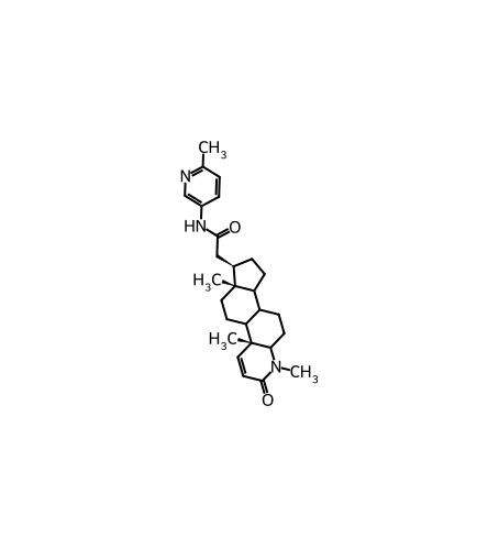 Cc1ccc(NC(=O)C[C@H]2CCC3C4CCC5N(C)C(=O)C=C[C@]5(C)C4CC[C@@]32C)cn1